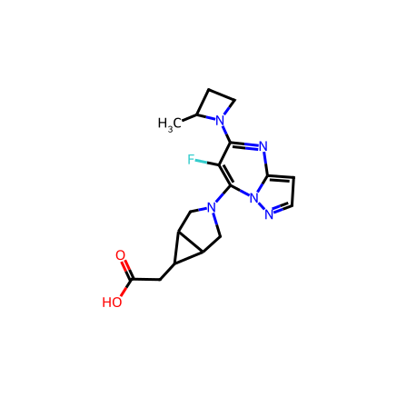 CC1CCN1c1nc2ccnn2c(N2CC3C(CC(=O)O)C3C2)c1F